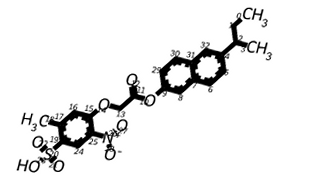 CCC(C)c1ccc2cc(OC(=O)COc3cc(C)c(S(=O)(=O)O)cc3[N+](=O)[O-])ccc2c1